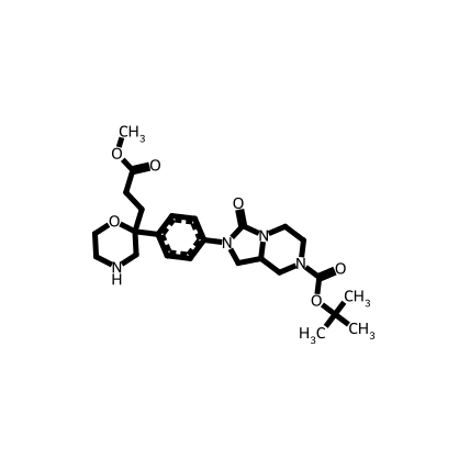 COC(=O)CCC1(c2ccc(N3CC4CN(C(=O)OC(C)(C)C)CCN4C3=O)cc2)CNCCO1